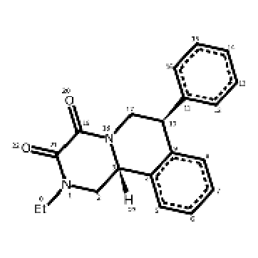 CCN1C[C@H]2c3ccccc3[C@H](c3ccccc3)CN2C(=O)C1=O